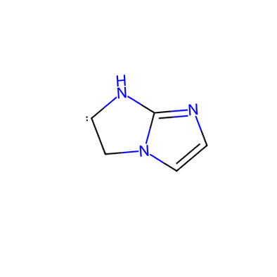 [C]1Cn2ccnc2N1